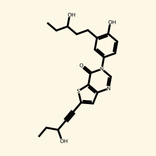 CCC(O)C#Cc1cc2ncn(-c3ccc(O)c(CCC(O)CC)c3)c(=O)c2s1